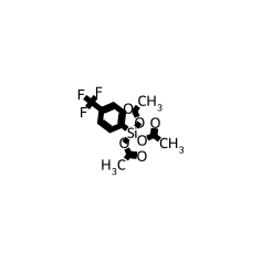 CC(=O)O[Si](OC(C)=O)(OC(C)=O)c1ccc(C(F)(F)F)cc1